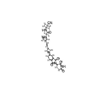 CC(C)(C(=O)NC12CCC1(C#N)CC2)n1cc(C#CC2CN(c3ccc4c(c3)C(=O)N(C3CCC(=O)NC3=O)C4=O)C2)cn1